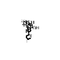 [2H]C([2H])([2H])C(O)(Cn1nc(-c2ccc(F)cn2)cc1CO)C([2H])([2H])[2H]